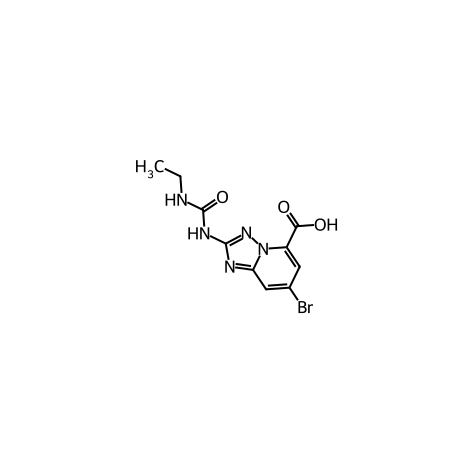 CCNC(=O)Nc1nc2cc(Br)cc(C(=O)O)n2n1